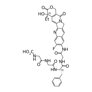 CC[C@@]1(O)C(=O)OCc2c1cc1n(c2=O)Cc2cc3cc(NC(=O)CNC(=O)[C@H](Cc4ccccc4)NC(=O)CNC(=O)CNC(=O)O)c(F)cc3nc2-1